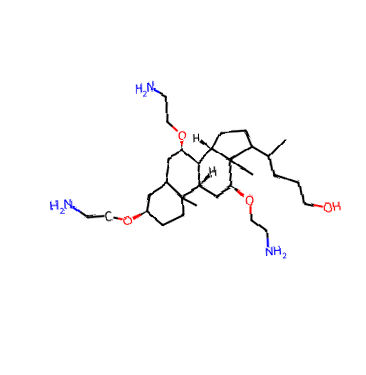 CC(CCCO)C1CC[C@H]2C3[C@H](OCCN)CC4C[C@H](OCCN)CCC4(C)[C@H]3C[C@H](OCCN)C12C